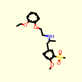 CCOc1ccccc1OCCNC(C)Cc1ccc(OC)c(S(C)(=O)=O)c1